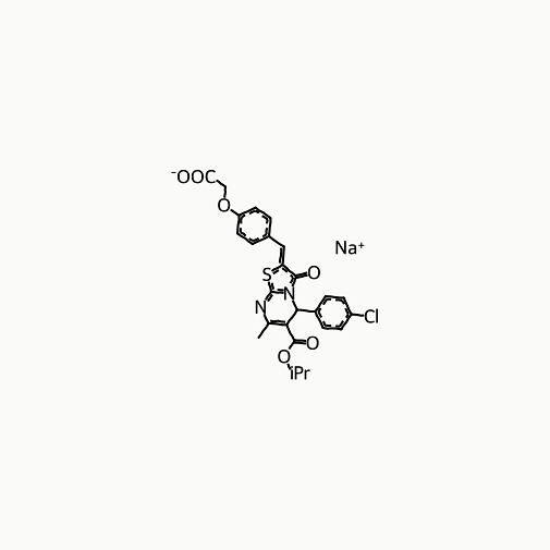 CC1=C(C(=O)OC(C)C)C(c2ccc(Cl)cc2)n2c(s/c(=C\c3ccc(OCC(=O)[O-])cc3)c2=O)=N1.[Na+]